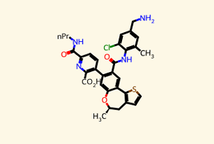 CCCNC(=O)c1ccc(-c2cc3c(cc2C(=O)Nc2c(C)cc(CN)cc2Cl)-c2sccc2C[C@@H](C)O3)c(C(=O)O)n1